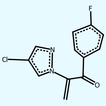 C=C(C(=O)c1ccc(F)cc1)n1cc(Cl)cn1